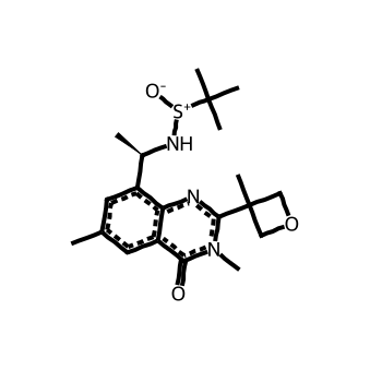 Cc1cc([C@@H](C)N[S+]([O-])C(C)(C)C)c2nc(C3(C)COC3)n(C)c(=O)c2c1